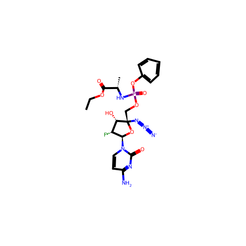 CCOC(=O)[C@H](C)NP(=O)(OC[C@@]1(N=[N+]=[N-])O[C@@H](n2ccc(N)nc2=O)[C@H](F)[C@@H]1O)Oc1ccccc1